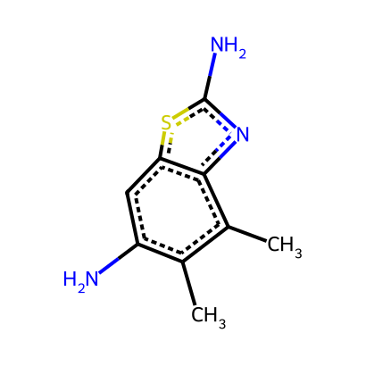 Cc1c(N)cc2sc(N)nc2c1C